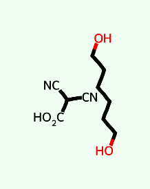 N#CC(C#N)C(=O)O.OCCCCCCO